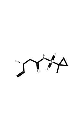 C=C[C@H](C)CC(=O)NS(=O)(=O)C1(C)CC1